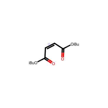 CC(C)COC(=O)/C=C\C(=O)OCC(C)C